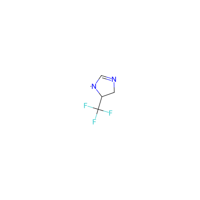 FC(F)(F)C1CN=C[N]1